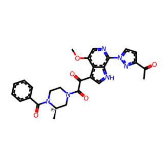 COc1cnc(-n2ccc(C(C)=O)n2)c2[nH]cc(C(=O)C(=O)N3CCN(C(=O)c4ccccc4)[C@H](C)C3)c12